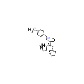 Cc1ccc(/C=C/C(=O)N(Cc2cccs2)c2ccn[nH]2)cc1